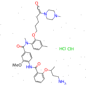 COc1cc(C(=O)N(C)c2ccc(C)cc2OCCCCC(=C=O)N2CCN(C)CC2)ccc1NC(=O)c1ccccc1OC(C)CCN.Cl.Cl